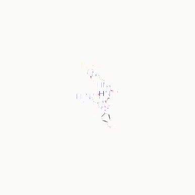 COCc1ccc(NC(=O)C(CC(N)=O)NC(=O)[C@H](C)NC(=O)C(C)NC(=O)CCN2C(=O)CC(S)C2=O)cc1